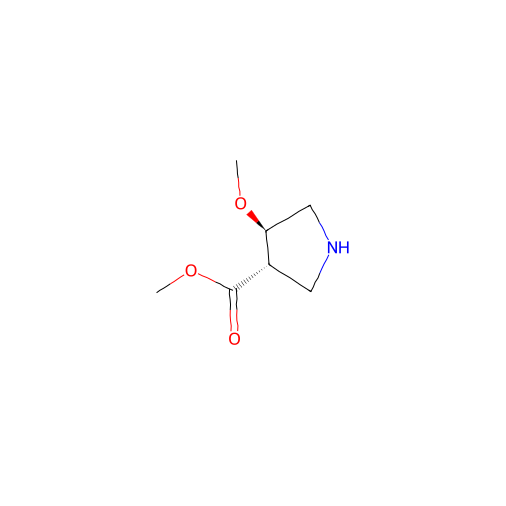 COC(=O)[C@H]1CNC[C@@H]1OC